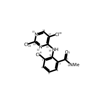 CNC(=O)c1cccc(Cl)c1Nc1nc(Cl)ncc1Cl